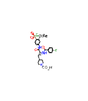 COc1cc(NC(=O)[C@H](CC2CCN(C(=O)O)CC2)NC(=O)c2ccc(F)cc2)ccc1S(=O)(=O)Cl